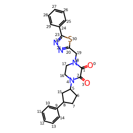 O=C1C(=O)N(C2CCC(c3ccccc3)C2)CCN1Cc1nnc(-c2ccccc2)s1